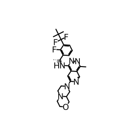 Cc1nnc(N[C@H](C)c2cccc(C(F)(F)C(C)(C)C)c2F)c2cc(N3CCN4CCOCC4C3)ncc12